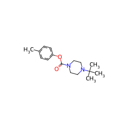 Cc1ccc(OC(=O)N2CCN(C(C)(C)C)CC2)cc1